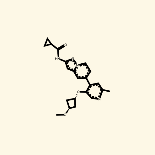 CO[C@H]1C[C@H](Oc2cnc(C)cc2-c2ccn3nc(NC(=O)C4CC4)cc3c2)C1